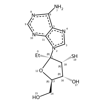 CC[C@@]1(n2cnc3c(N)ncnc32)O[C@H](CO)[C@@H](O)[C@H]1S